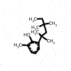 CCC(C)(C)CC(C)(C)c1cccc(C)c1O